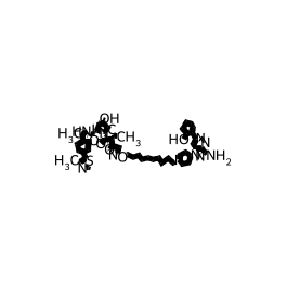 Cc1ncsc1-c1ccc([C@H](C)NC(=O)[C@@H]2C[C@@H](O)CN2C(=O)[C@H](c2cc(OCCCCCCCCCCN3CCC(n4nc(N)c5nnc(-c6ccccc6O)cc54)CC3)no2)C(C)C)cc1